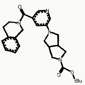 CC(C)(C)OC(=O)N1CC2CN(c3cncc(C(=O)N4CCc5ccccc5C4)c3)CC2C1